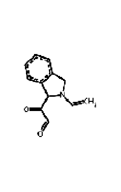 C=CN1Cc2ccccc2C1C(=O)C=O